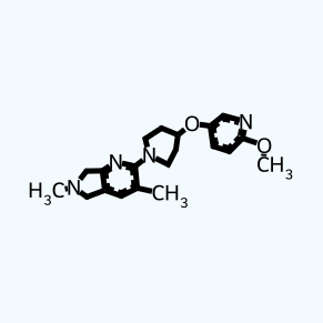 COc1ccc(OC2CCN(c3nc4c(cc3C)CN(C)C4)CC2)cn1